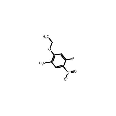 CCOc1cc(F)c([N+](=O)[O-])cc1N